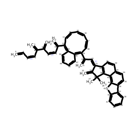 C=C/C=C\C(=C)C(=C)/C=C\C(=C)c1ccccccc(C(=C)/C=C2\C(=C)C(C)(C)c3c2ccc2ccc4c5ccccc5sc4c32)c2ccccc12